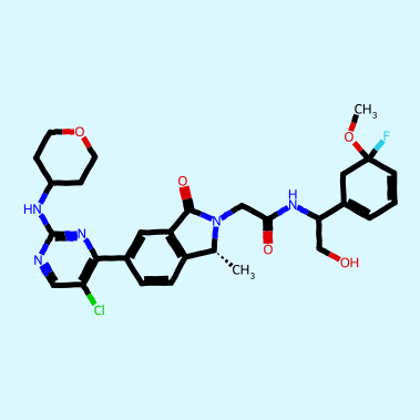 COC1(F)C=CC=C(C(CO)NC(=O)CN2C(=O)c3cc(-c4nc(NC5CCOCC5)ncc4Cl)ccc3[C@H]2C)C1